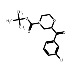 CC(C)(C)OC(=O)N1CCOC(C(=O)c2cccc(Cl)c2)C1